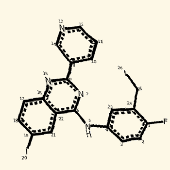 Fc1ccc(Nc2nc(-c3cccnc3)nc3ccc(I)cc23)cc1CI